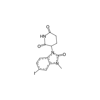 Cn1c(=O)n(C2CCC(=O)NC2=O)c2ccc(I)cc21